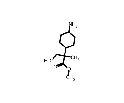 CCC(C)(C(=O)OC)C1CCC(N)CC1